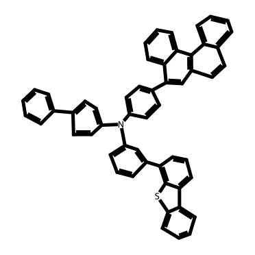 c1ccc(-c2ccc(N(c3ccc(-c4cc5ccc6ccccc6c5c5ccccc45)cc3)c3cccc(-c4cccc5c4sc4ccccc45)c3)cc2)cc1